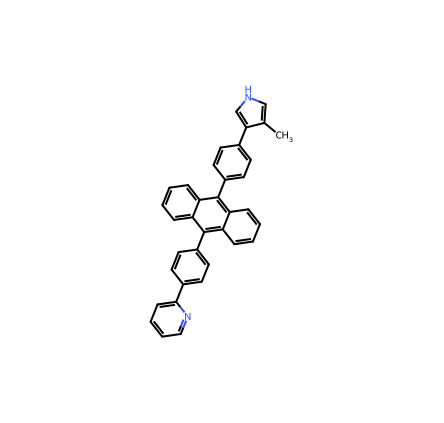 Cc1c[nH]cc1-c1ccc(-c2c3ccccc3c(-c3ccc(-c4ccccn4)cc3)c3ccccc23)cc1